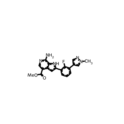 COC(=O)c1cnc(N)c2[nH]c(-c3cccc(-c4cnn(C)c4)c3F)cc12